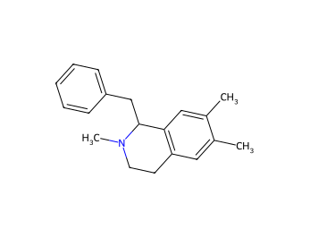 Cc1cc2c(cc1C)C(Cc1ccccc1)N(C)CC2